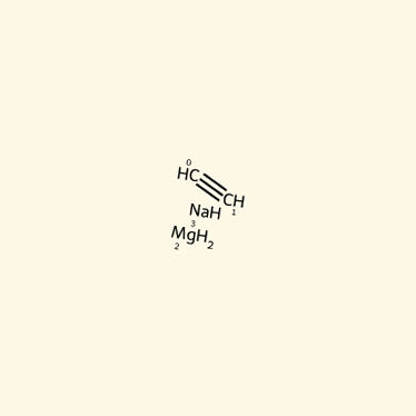 C#C.[MgH2].[NaH]